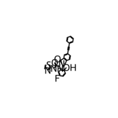 O=C(Nc1nccs1)[C@@H](c1cc(F)ccc1O)N1Cc2ccc(C#Cc3ccccc3)cc2C1=O